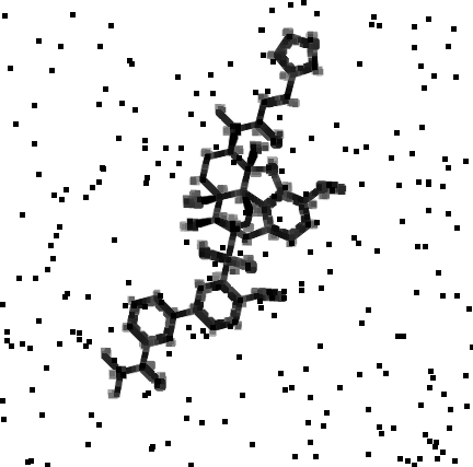 COc1ccc(-c2cccc(C(=O)N(C)C)c2)cc1S(=O)(=O)N1CC[C@]23c4c5ccc(OC)c4O[C@H]2[C@H](N(C)C(=O)/C=C/c2ccoc2)CC[C@@]3(O)[C@H]1C5